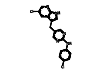 Clc1ccc(Nc2ncc(Cc3c[nH]c4ncc(Cl)cc34)cn2)cc1